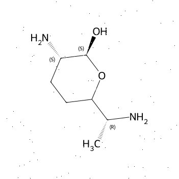 C[C@@H](N)C1CC[C@H](N)[C@@H](O)O1